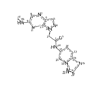 O=C(Cn1ncc2ncc(NI)nc21)Nc1ccc2ncnn2c1